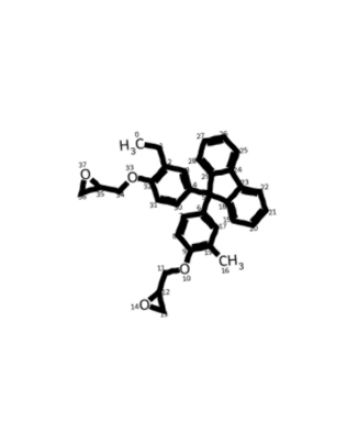 CCc1cc(C2(c3ccc(OCC4CO4)c(C)c3)c3ccccc3-c3ccccc32)ccc1OCC1CO1